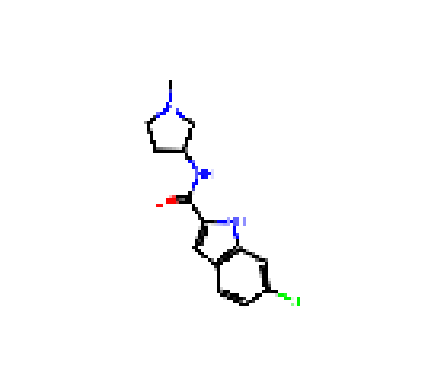 CN1CCC(NC(=O)c2cc3ccc(Cl)cc3[nH]2)C1